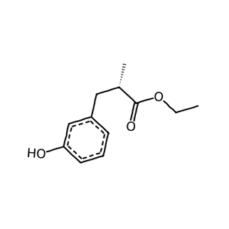 CCOC(=O)[C@@H](C)Cc1cccc(O)c1